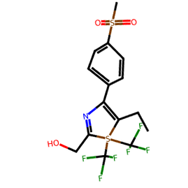 CCC1=C(c2ccc(S(C)(=O)=O)cc2)N=C(CO)S1(C(F)(F)F)C(F)(F)F